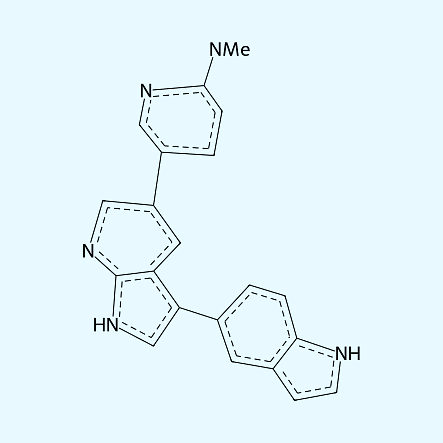 CNc1ccc(-c2cnc3[nH]cc(-c4ccc5[nH]ccc5c4)c3c2)cn1